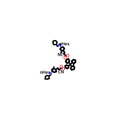 CCCCCCN(CC1CCCCC1)c1ccc(/C=C(\C#N)C(=O)Oc2ccc(C3(c4ccc(OC(=O)/C(C#N)=C/c5ccc(N(CCCCCC)CC6CCCCC6)cc5C)cc4)c4ccccc4-c4ccccc43)cc2)c(C)c1